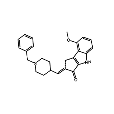 COc1cccc2[nH]c3c(c12)C/C(=C\C1CCN(Cc2ccccc2)CC1)C3=O